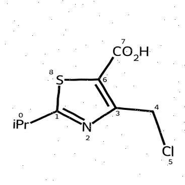 CC(C)c1nc(CCl)c(C(=O)O)s1